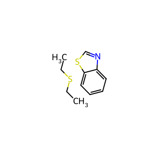 CCSCC.c1ccc2scnc2c1